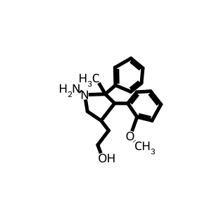 COc1ccccc1C1C(CCO)CN(N)C1(C)c1ccccc1